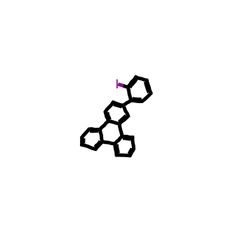 Ic1ccccc1-c1ccc2c3ccccc3c3ccccc3c2c1